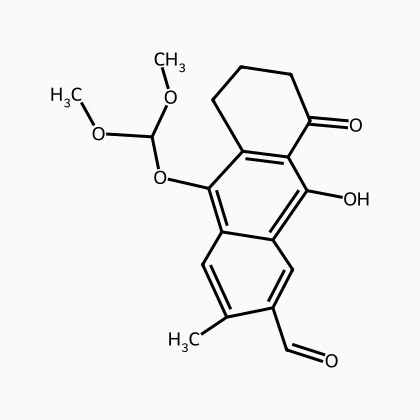 COC(OC)Oc1c2c(c(O)c3cc(C=O)c(C)cc13)C(=O)CCC2